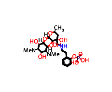 CN[C@@H]1[C@H](O)[C@H](NC)[C@H]2O[C@]3(O)[C@H](O[C@@H]2[C@H]1O)O[C@H](C)C[C@@]3(O)CNCCc1ccccc1OP(=O)(O)O